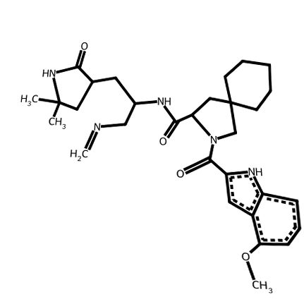 C=NCC(CC1CC(C)(C)NC1=O)NC(=O)C1CC2(CCCCC2)CN1C(=O)c1cc2c(OC)cccc2[nH]1